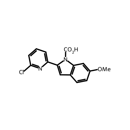 COc1ccc2cc(-c3cccc(Cl)n3)n(C(=O)O)c2c1